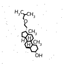 CC(C)COCC[C@H]1CC[C@H]2[C@@H]3CC=C4C[C@@H](O)CC[C@]4(C)[C@H]3CC[C@]12C